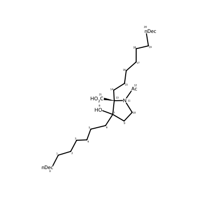 CCCCCCCCCCCCCCCCC1(O)CCN(C(C)=O)[C@]1(CCCCCCCCCCCCCCCC)C(=O)O